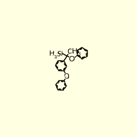 CC([SiH3])(Oc1ccccc1)c1cccc(Oc2ccccc2)c1